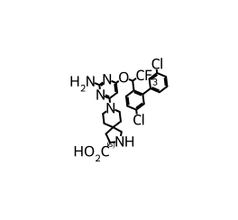 Nc1nc(OC(c2ccc(Cl)cc2-c2cccc(Cl)c2)C(F)(F)F)cc(N2CCC3(CC2)CN[C@H](C(=O)O)C3)n1